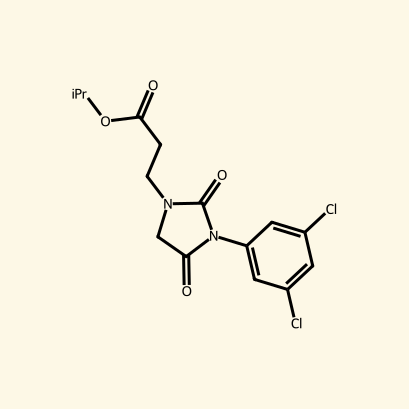 CC(C)OC(=O)CCN1CC(=O)N(c2cc(Cl)cc(Cl)c2)C1=O